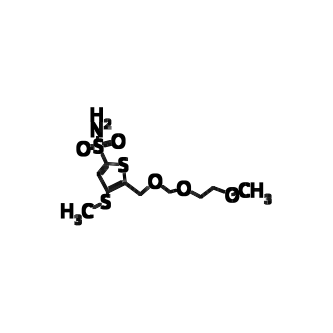 COCCOCOCc1sc(S(N)(=O)=O)cc1SC